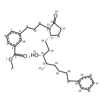 COC(=O)c1cccc(CCCN2C(=O)CC[C@@H]2CC[C@@H](O)[C@@H](C)CCCCc2ccccc2)c1